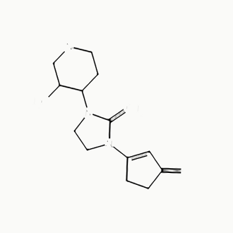 C=C1C=C(N2CCN(C3CCNCC3C)C2=C)CC1